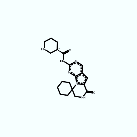 O=C1NCC2(CCCCC2)n2c1cc1cnc(NC(=O)[C@@H]3CCCNC3)nc12